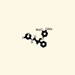 COc1ccc(OCC2(c3ccccc3)CC2C(=O)Nc2cncc(F)c2)cc1OC